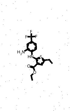 CCOC(=O)c1cc(CC)sc1Nc1ccc(C(F)(F)F)cc1N